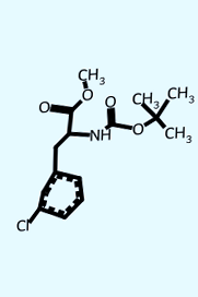 COC(=O)C(Cc1cccc(Cl)c1)NC(=O)OC(C)(C)C